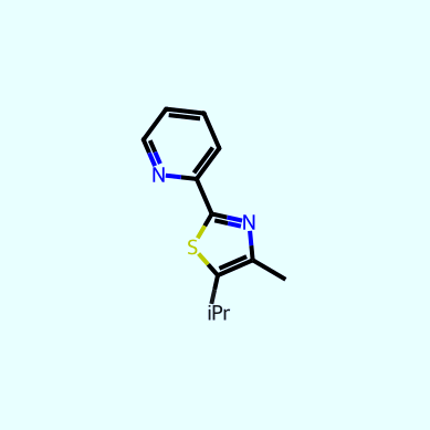 Cc1nc(-c2ccccn2)sc1C(C)C